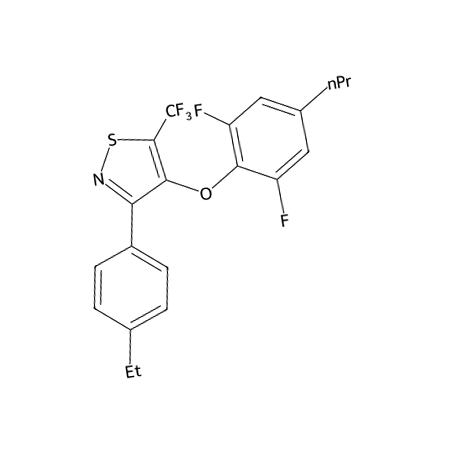 CCCc1cc(F)c(Oc2c(-c3ccc(CC)cc3)nsc2C(F)(F)F)c(F)c1